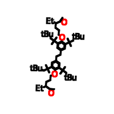 CCC(CCCOc1c(C(C)(C)CC(C)(C)C)cc(CCc2cc(C(C)(C)CC(C)(C)C)c(OCCCC(CC)C3CO3)c(C(C)(C)CC(C)(C)C)c2)cc1C(C)(C)CC(C)(C)C)C1CO1